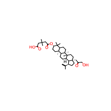 C=C(C)[C@@H]1CC[C@]2(CC(=O)CO)CC[C@]3(C)[C@H](CCC4[C@@]5(C)CC[C@H](OC(=O)CC(C)(C)CC(=O)O)C(C)(C)C5CC[C@]43C)C12